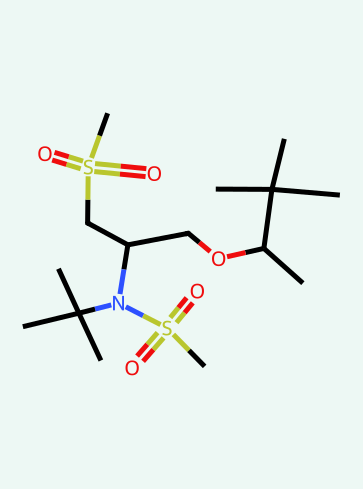 CC(OCC(CS(C)(=O)=O)N(C(C)(C)C)S(C)(=O)=O)C(C)(C)C